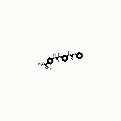 CC(C)c1ccc(NC(=O)Nc2cccc(NC(=O)Oc3ccccc3)c2)cc1